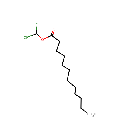 O=C(O)CCCCCCCCCCC(=O)OC(Cl)Cl